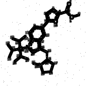 COC(=O)c1ccc(-c2ccc3c(c2)c(C[C@H]2CCCN2C)cn3[Si](C(C)C)(C(C)C)C(C)C)o1